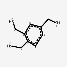 SCc1ccc(CS)c(CS)c1